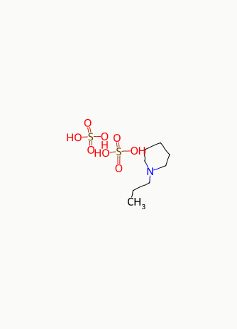 CCCN1CCCCC1.O=S(=O)(O)O.O=S(=O)(O)O